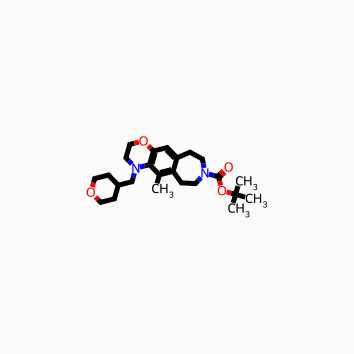 Cc1c2c(cc3c1N(CC1CCOCC1)CCO3)CCN(C(=O)OC(C)(C)C)CC2